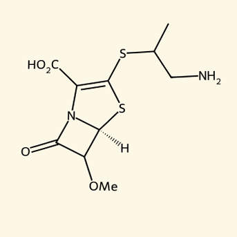 COC1C(=O)N2C(C(=O)O)=C(SC(C)CN)S[C@@H]12